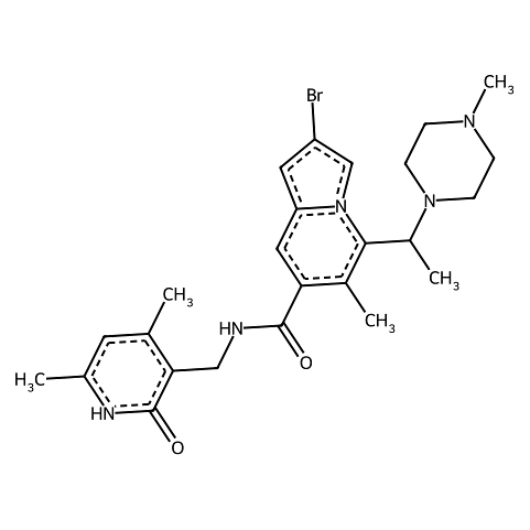 Cc1cc(C)c(CNC(=O)c2cc3cc(Br)cn3c(C(C)N3CCN(C)CC3)c2C)c(=O)[nH]1